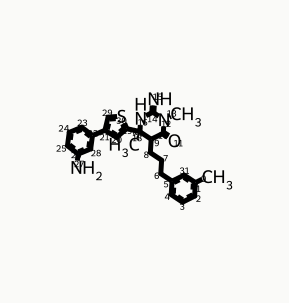 Cc1cccc(CCCC2C(=O)N(C)C(=N)N[C@]2(C)c2cc(-c3cccc(N)c3)cs2)c1